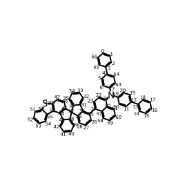 c1ccc(-c2ccc(N(c3ccc(-c4ccccc4)cc3)c3ccc(-c4cccc5c4-c4ccccc4C54c5ccccc5-c5c4ccc4sc6ccccc6c54)c4ccccc34)cc2)cc1